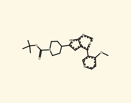 COc1ccncc1-c1ccnc2[nH]c(C3CCN(C(=O)OC(C)(C)C)CC3)cc12